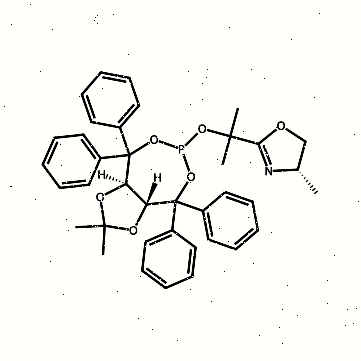 C[C@H]1COC(C(C)(C)OP2OC(c3ccccc3)(c3ccccc3)[C@@H]3OC(C)(C)O[C@H]3C(c3ccccc3)(c3ccccc3)O2)=N1